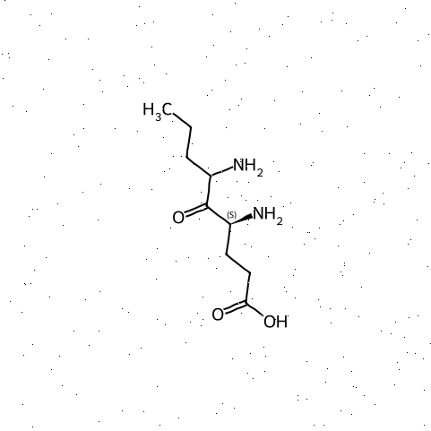 CCCC(N)C(=O)[C@@H](N)CCC(=O)O